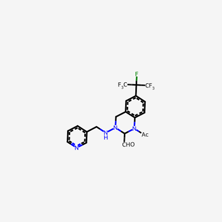 CC(=O)N1c2ccc(C(F)(C(F)(F)F)C(F)(F)F)cc2CN(NCc2cccnc2)C1C=O